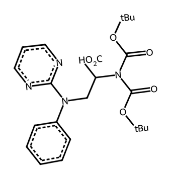 CC(C)(C)OC(=O)N(C(=O)OC(C)(C)C)C(CN(c1ccccc1)c1ncccn1)C(=O)O